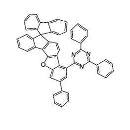 c1ccc(-c2cc(-c3nc(-c4ccccc4)nc(-c4ccccc4)n3)c3c(c2)oc2c4c(ccc23)C2(c3ccccc3-c3ccccc32)c2ccccc2-4)cc1